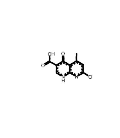 Cc1cc(Cl)nc2[nH]cc(C(=O)O)c(=O)c12